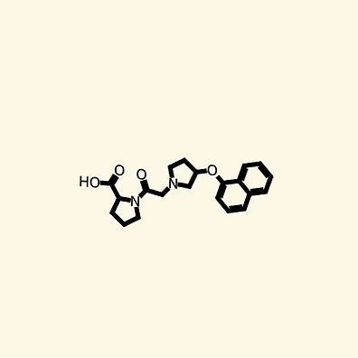 O=C(O)C1CCCN1C(=O)CN1CCC(Oc2cccc3ccccc23)C1